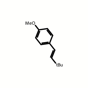 COc1ccc(/C=C/C(C)(C)C)cc1